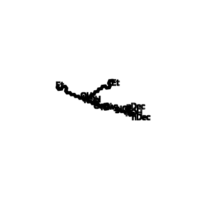 CC/C=C\C/C=C\C/C=C\CCCCCC[C@@H](O)CN(CCCC(=O)OCCN1CCN(CCSSCCCCN(CC(O)CCCCCCCCCC)CC(O)CCCCCCCCCC)CC1)C[C@H](O)CCCCCC/C=C\C/C=C\C/C=C\CC